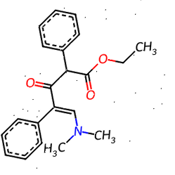 CCOC(=O)C(C(=O)C(=CN(C)C)c1ccccc1)c1ccccc1